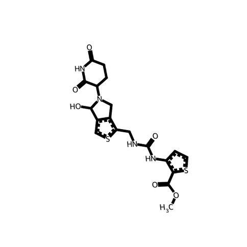 COC(=O)c1sccc1NC(=O)NCc1scc2c1CN(C1CCC(=O)NC1=O)C2O